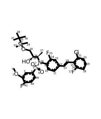 COc1cc(S(=O)(=O)N(c2ccc(/C=C/c3c(F)cccc3Cl)cc2F)[C@H](C)[C@@H](O)CO[Si](C)(C)C(C)(C)C)ccc1F